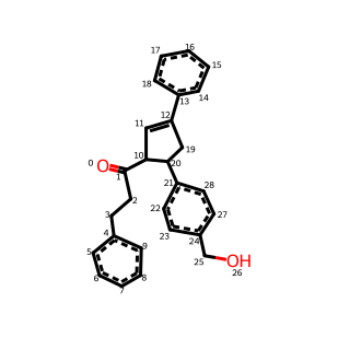 O=C(CCc1ccccc1)C1C=C(c2ccccc2)CC1c1ccc(CO)cc1